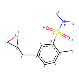 Cc1ccc(CC2CO2)cc1S(=O)(=O)N(C)C